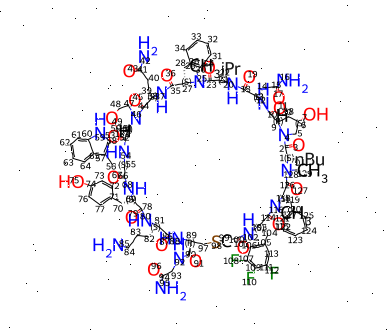 CCCC[C@H]1C(=O)N2C[C@@H](O)C[C@@H]2C(=O)N[C@@H](CC(N)=O)C(=O)N[C@@H](C(C)C)C(=O)N(C)[C@@H](Cc2ccccc2)C(=O)N[C@@H](CCC(N)=O)C(=O)N2CCOC[C@@H]2C(=O)N[C@@H](Cc2c[nH]c3ccccc23)C(=O)N[C@@H](Cc2ccc(O)cc2)C(=O)N[C@@H](CCCN)C(=O)N[C@H](C(=O)NCC(N)=O)CSCC(=O)N[C@@H](Cc2cc(F)c(F)c(F)c2)C(=O)N(C)[C@@H](Cc2ccccc2)C(=O)N1C